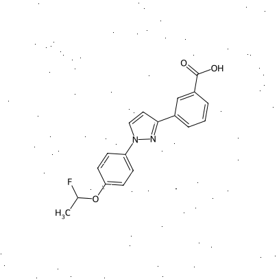 CC(F)Oc1ccc(-n2ccc(-c3cccc(C(=O)O)c3)n2)cc1